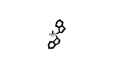 C[CH]=[ZrH2]([CH]1C=Cc2ccccc21)[CH]1C=Cc2ccccc21